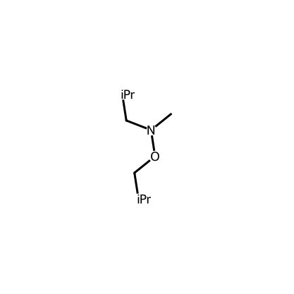 CC(C)CON(C)CC(C)C